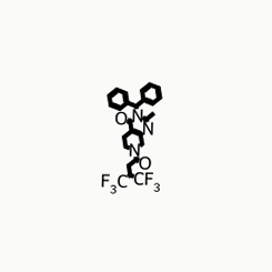 Cc1nc2c(c(=O)n1C(c1ccccc1)c1ccccc1)CCN(C(=O)CC(C(F)(F)F)C(F)(F)F)C2